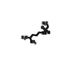 CCS(=O)(=O)NCCCC(C)C